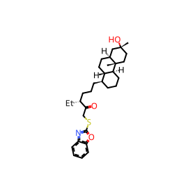 CC[C@H](CCC[C@@H]1CCC[C@H]2[C@H]1CC[C@H]1C[C@](C)(O)CC[C@@]12C)C(=O)CSc1nc2ccccc2o1